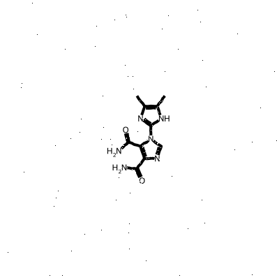 Cc1nc(-n2cnc(C(N)=O)c2C(N)=O)[nH]c1C